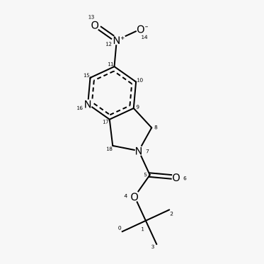 CC(C)(C)OC(=O)N1Cc2cc([N+](=O)[O-])cnc2C1